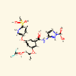 C[C@@H](COC(F)F)Oc1cc(Oc2ccc(S(C)(=O)=O)nc2)cc(C(=O)Nc2ccn(C(=O)O)n2)c1